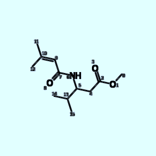 COC(=O)CC(NC(=O)C=C(C)C)C(C)C